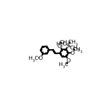 COc1cccc(/C=C/c2cc(OC)c(OC)c([Si](C)(C)C)c2OC)c1